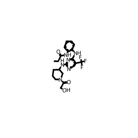 CCC(=O)Nc1ccccc1Nc1nc(NC2CCCN(C(=O)CO)C2)ncc1C(F)(F)F